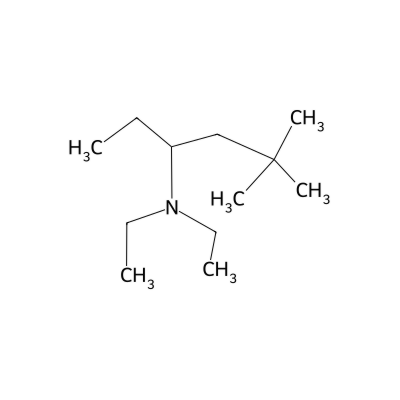 CCC(CC(C)(C)C)N(CC)CC